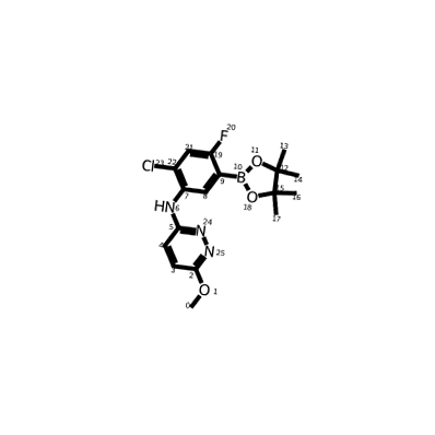 COc1ccc(Nc2cc(B3OC(C)(C)C(C)(C)O3)c(F)cc2Cl)nn1